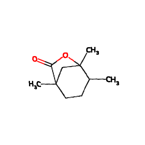 CC1CCC2(C)CC1(C)OC2=O